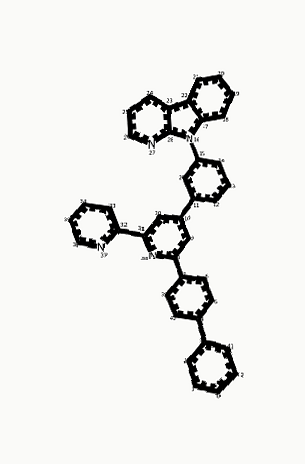 c1ccc(-c2ccc(-c3cc(-c4cccc(-n5c6ccccc6c6cccnc65)c4)cc(-c4ccccn4)n3)cc2)cc1